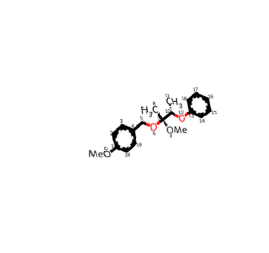 COc1ccc(CO[C@@](C)(OC)[C@H](C)Oc2ccccc2)cc1